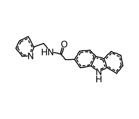 O=C(Cc1ccc2c(c1)[nH]c1ccccc12)NCc1ccccn1